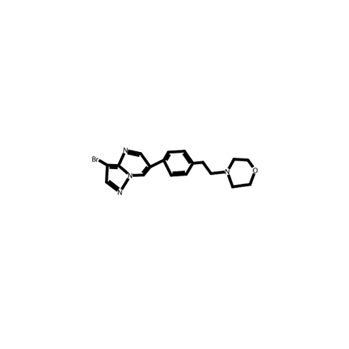 Brc1cnn2cc(-c3ccc(CCN4CCOCC4)cc3)cnc12